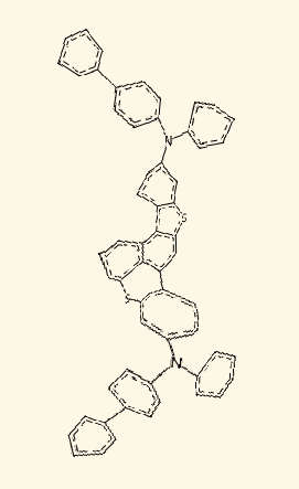 c1ccc(-c2ccc(N(c3ccccc3)c3ccc4c(c3)Sc3cccc5c3c-4cc3sc4cc(N(c6ccccc6)c6ccc(-c7ccccc7)cc6)ccc4c35)cc2)cc1